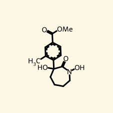 COC(=O)c1ccc(C2(O)CCCCN(O)C2=O)c(C)c1